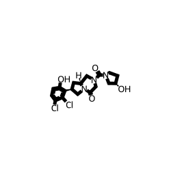 O=C(N1CC[C@H](O)C1)N1CC(=O)N2C[C@@H](c3c(O)ccc(Cl)c3Cl)C[C@H]2C1